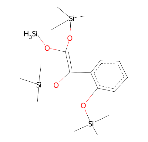 C[Si](C)(C)OC(O[SiH3])=C(O[Si](C)(C)C)c1ccccc1O[Si](C)(C)C